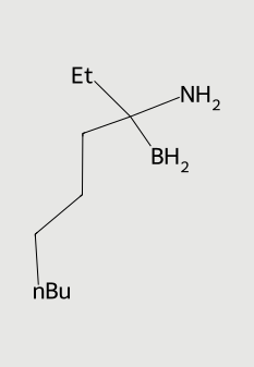 BC(N)(CC)CCCCCCC